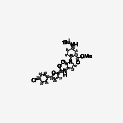 COC(=O)[C@@H]1C[C@H](NC(C)(C)C)CC[C@@H]1N1CC[C@H](NC(=O)c2ccc(-c3ccc(Cl)cc3)o2)C1=O